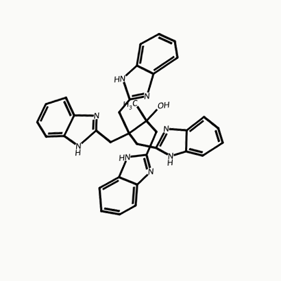 CC(O)(Cc1nc2ccccc2[nH]1)C(Cc1nc2ccccc2[nH]1)(Cc1nc2ccccc2[nH]1)Cc1nc2ccccc2[nH]1